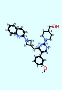 COc1cccc(-c2cnc(N3CCC(CO)CC3)nc2CC2CN(c3ccc4ccccc4n3)C2)c1